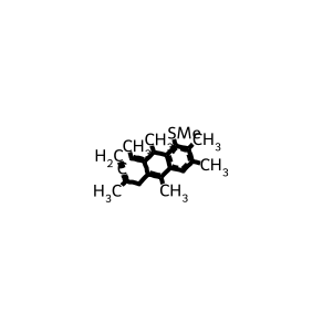 C=C=C(C)CC1=C(C)c2cc(C)c(C)c(SC)c2C(C)/C1=C\C